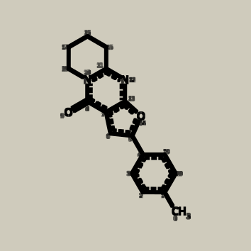 Cc1ccc(-c2cc3c(=O)n4c(nc3o2)CCCC4)cc1